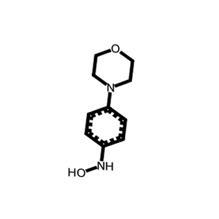 ONc1ccc(N2CCOCC2)cc1